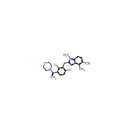 C=C(c1ccc(Cl)c(Cc2cc3c(C)c(C#N)ccc3n2C)c1Cl)N1CCOCC1